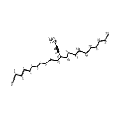 CCCCCCCCCCCC(C#CO)CCCCCCCCCC